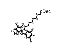 CCCCCCCCCCCCCCCCCCCC1([SiH2]c2cc(C)cc(C)c2)C(C)=C(C)C(C)=C1C